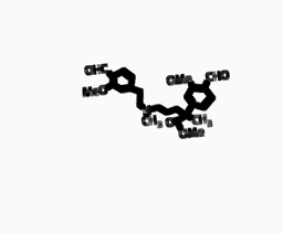 COC(=O)C(C)(CCCN(C)CCc1ccc(C=O)c(OC)c1)c1ccc(C=O)c(OC)c1